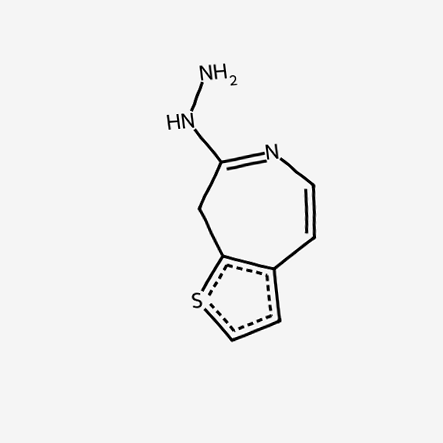 NNC1=NC=Cc2ccsc2C1